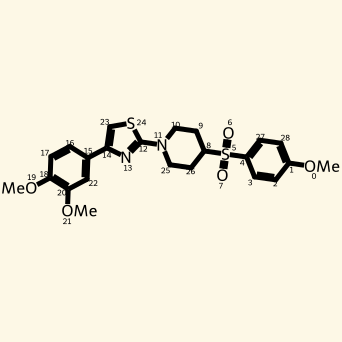 COc1ccc(S(=O)(=O)C2CCN(c3nc(-c4ccc(OC)c(OC)c4)cs3)CC2)cc1